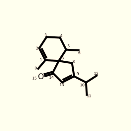 CC1=CCCC(C)C12CC(C(C)C)=CC2=O